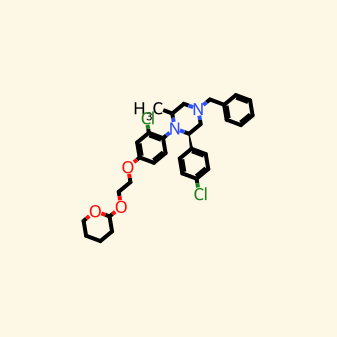 CC1CN(Cc2ccccc2)C[C@@H](c2ccc(Cl)cc2)N1c1ccc(OCCOC2CCCCO2)cc1Cl